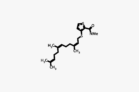 CNC(=O)c1sccc1SCC=C(C)CCC=C(C)CCC=C(C)C